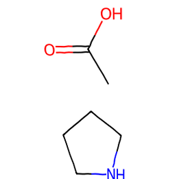 C1CCNC1.CC(=O)O